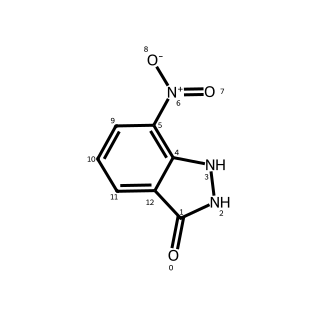 O=c1[nH][nH]c2c([N+](=O)[O-])cccc12